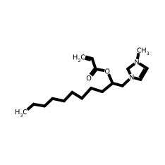 C=CC(=O)OC(CCCCCCCCC)CN1C=CN(C)C1